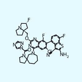 N#Cc1c(N)sc2c(F)ccc(-c3c(Cl)cc4c(N5CCCCC6(CCCN6C(=O)n6cncn6)C5)nc(OC[C@@]56CCCN5C[C@H](F)C6)nc4c3F)c12